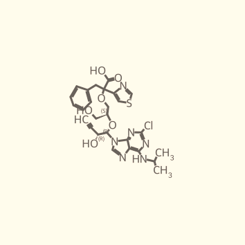 C#C[C@@H](O)[C@@H](O[C@@H](CO)COC(Cc1ccccc1)(C(=O)O)c1cscn1)n1cnc2c(NC(C)C)nc(Cl)nc21